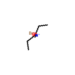 CCCCCCCC/C=C\CCCCCCCC(=O)C(CC)(C(=O)CCCCCCC/C=C\CCCCCCCC)[N+](C)(C)C.[Br-]